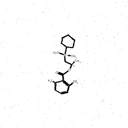 Cc1cccc(C)c1C(=O)O[C@H](C)C[N+](C)(C)C1CCCCC1